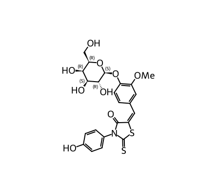 COc1cc(C=C2SC(=S)N(c3ccc(O)cc3)C2=O)ccc1O[C@@H]1O[C@H](CO)[C@H](O)[C@H](O)[C@H]1O